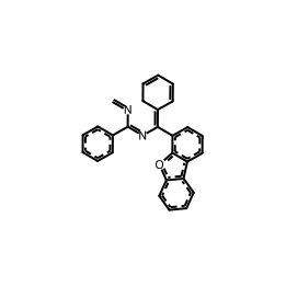 C=N/C(=N\C(=C1\C=CC=CC1)c1cccc2c1oc1ccccc12)c1ccccc1